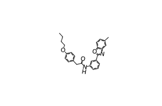 CCCCOc1ccc(CC(=O)Nc2cccc(-c3nc4cc(C)ccc4o3)c2)cc1